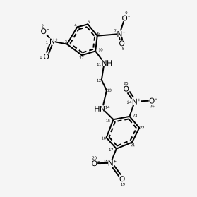 O=[N+]([O-])c1ccc([N+](=O)[O-])c(NCCNc2cc([N+](=O)[O-])ccc2[N+](=O)[O-])c1